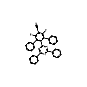 N#Cc1c(F)c(-c2ccccc2)c(-c2nc(-c3ccccc3)nc(-c3ccccc3)n2)c(-c2ccccc2)c1F